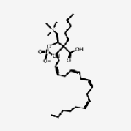 CCCCC/C=C\C/C=C\C/C=C\C/C=C\CCC(CCCCC)(C(=O)O)C(C[N+](C)(C)C)OP(=O)(O)O